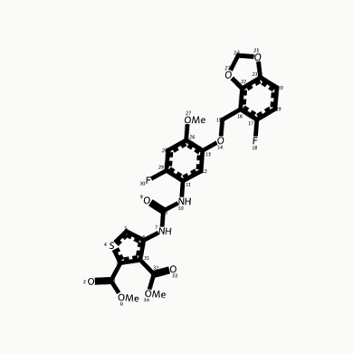 COC(=O)c1scc(NC(=O)Nc2cc(OCc3c(F)ccc4c3OCO4)c(OC)cc2F)c1C(=O)OC